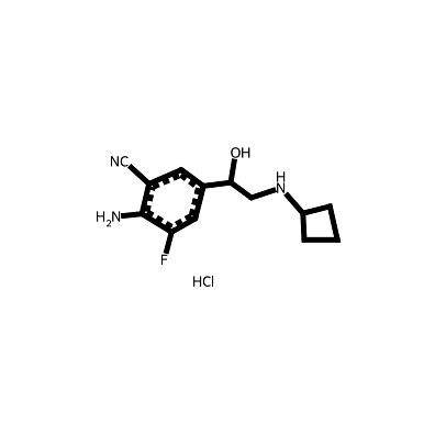 Cl.N#Cc1cc(C(O)CNC2CCC2)cc(F)c1N